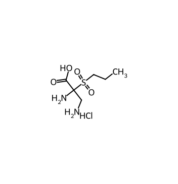 CCCS(=O)(=O)C(N)(CN)C(=O)O.Cl